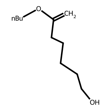 C=C(CCCCCO)OCCCC